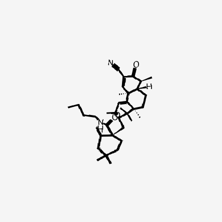 CCCCNC(=O)[C@]1(CCC(C)(C)[C@]2(C)CC[C@H]3[C@H](C)C(=O)C(C#N)=C[C@]3(C)/C2=C/C(C)=O)CCC(C)(C)CC1C